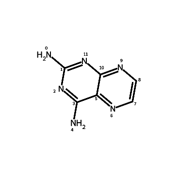 Nc1nc(N)c2nccnc2n1